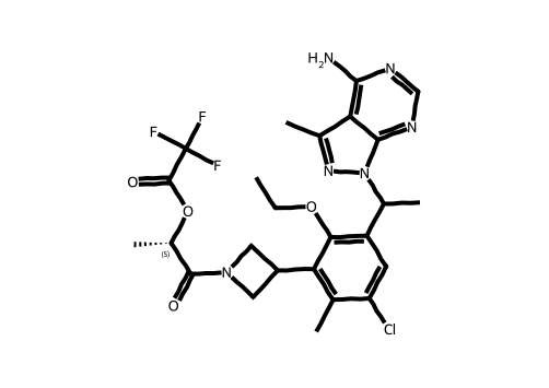 CCOc1c(C(C)n2nc(C)c3c(N)ncnc32)cc(Cl)c(C)c1C1CN(C(=O)[C@H](C)OC(=O)C(F)(F)F)C1